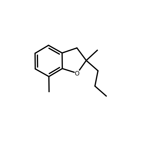 CCCC1(C)Cc2cccc(C)c2O1